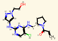 C=CC(=O)N1CCC[C@H]1CNc1nc(Nc2cnn(CCO)c2)ncc1Cl